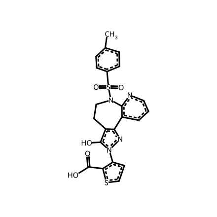 Cc1ccc(S(=O)(=O)N2CCc3c(nn(-c4ccsc4C(=O)O)c3O)-c3cccnc32)cc1